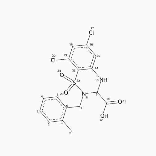 Cc1ccccc1CN1C(C(=O)O)Nc2cc(Cl)cc(Cl)c2S1(=O)=O